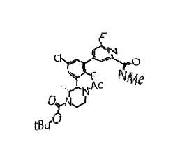 CNC(=O)c1cc(-c2cc(Cl)cc([C@@H]3[C@@H](C)N(C(=O)OC(C)(C)C)CCN3C(C)=O)c2F)cc(F)n1